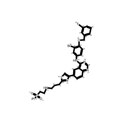 CC(C)S(=O)(=O)CCNCCCc1nc(-c2ccc3ncnc(Nc4ccc(OCc5cccc(F)c5)c(Br)c4)c3c2)cs1